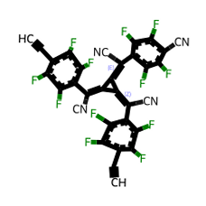 C#Cc1c(F)c(F)c(C(C#N)=C2C(=C(/C#N)c3c(F)c(F)c(C#C)c(F)c3F)/C2=C(/C#N)c2c(F)c(F)c(C#N)c(F)c2F)c(F)c1F